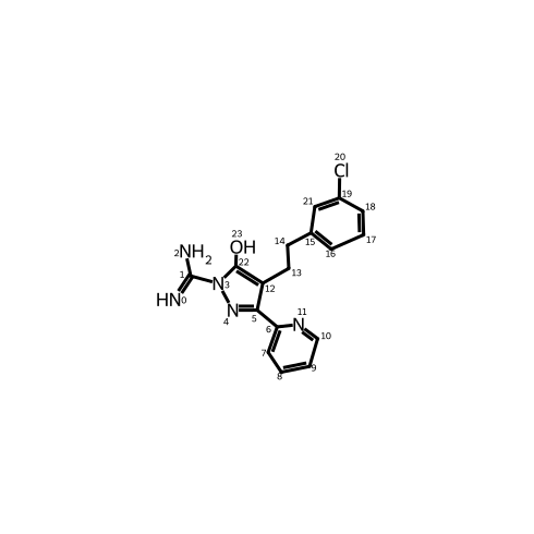 N=C(N)n1nc(-c2ccccn2)c(CCc2cccc(Cl)c2)c1O